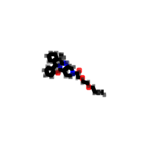 CCCOCCOCC(=O)N1CCc2c(nc(C)n(C(c3ccccc3)c3ccccc3)c2=O)C1